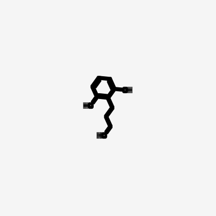 OCCCc1c(O)cccc1O